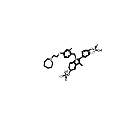 Cc1cc(OCCN2CCCCCC2)ccc1Cn1c(-c2ccc(OP(=O)(O)O)cc2)c(C)c2c1=CCC(OP(=O)(O)O)C=2